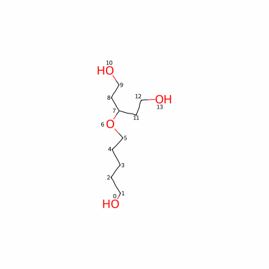 OCCCCCOC(CCO)CCO